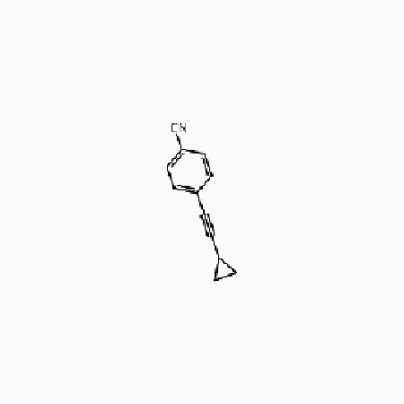 N#Cc1ccc(C#CC2CC2)cc1